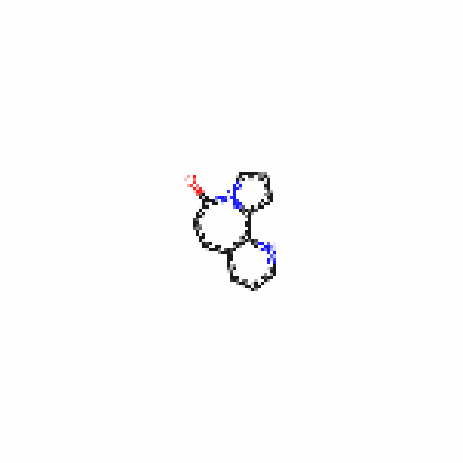 O=c1ccc2cccnc2c2cccn12